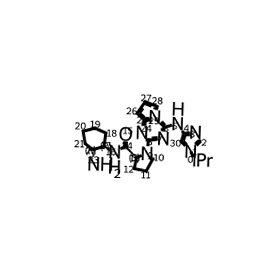 CC(C)n1cnc(Nc2nc(N3CCC[C@H]3C(=O)N[C@@H]3CCCC[C@H]3N)nc3cccn23)c1